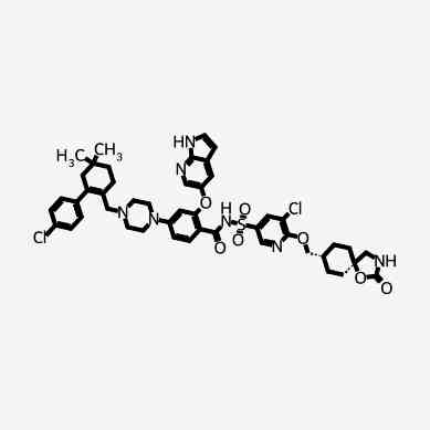 CC1(C)CCC(CN2CCN(c3ccc(C(=O)NS(=O)(=O)c4cnc(OC[C@H]5CC[C@]6(CC5)CNC(=O)O6)c(Cl)c4)c(Oc4cnc5[nH]ccc5c4)c3)CC2)=C(c2ccc(Cl)cc2)C1